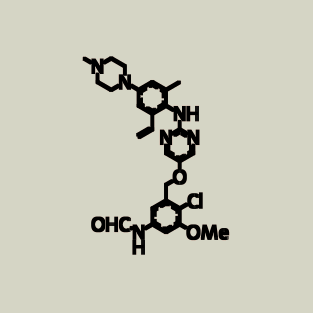 C=Cc1cc(N2CCN(C)CC2)cc(C)c1Nc1ncc(OCc2cc(NC=O)cc(OC)c2Cl)cn1